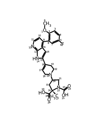 COc1ccc(F)cc1-c1ccnc2[nH]c(C3=CCN(C4CN(C(=O)O)[C@](C)(C(=O)O)C4)CC3)cc12